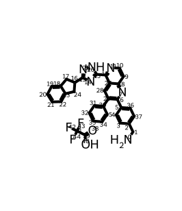 NCc1ccc(-c2nc3ccnc(-c4nc(C5Cc6ccccc6C5)n[nH]4)c3cc2-c2ccccc2)cc1.O=C(O)C(F)(F)F